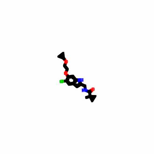 CC1(C(=O)NCc2cc3cc(Cl)c(OCCOC4CC4)cc3[nH]2)CC1